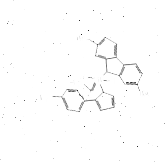 C[C](C)=[Hf]([Cl])([Cl])([CH]1C=CC=C1c1ccc(C(F)(F)F)cc1)[CH]1c2cc(C(C)(C)C)ccc2-c2ccc(C(C)(C)C)cc21